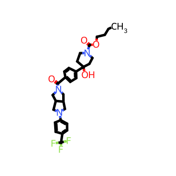 CCCCOC(=O)N1CCC(O)(c2ccc(C(=O)N3CC4CN(c5ccc(C(F)(F)F)cc5)CC4C3)cc2)CC1